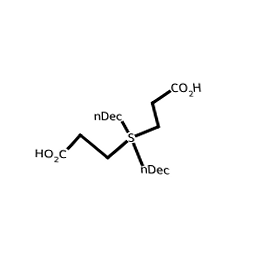 CCCCCCCCCCS(CCCCCCCCCC)(CCC(=O)O)CCC(=O)O